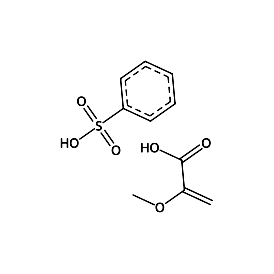 C=C(OC)C(=O)O.O=S(=O)(O)c1ccccc1